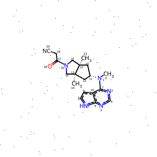 CN(c1ncnc2[nH]ccc12)[C@@H]1C[C@@]2(C)CN(C(=O)CC#N)C[C@@]2(C)C1